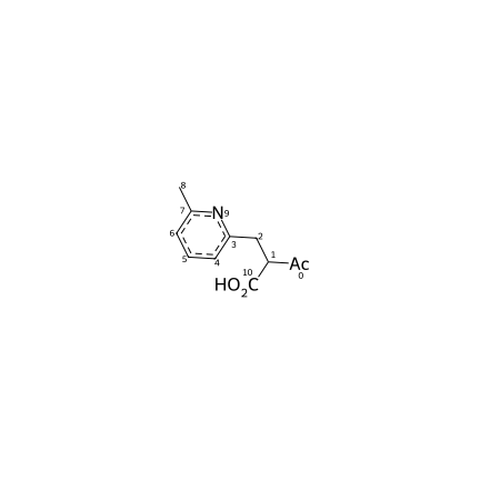 CC(=O)C(Cc1cccc(C)n1)C(=O)O